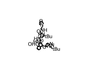 CC(C)(C)Cc1nnc2ccc(O[C@@H]3C=C[C@](C=O)(NC(=O)Nc4cc(C(C)(C)C)nc(C(=O)NCCN5CCOCC5)n4)c4ccccc43)cn12